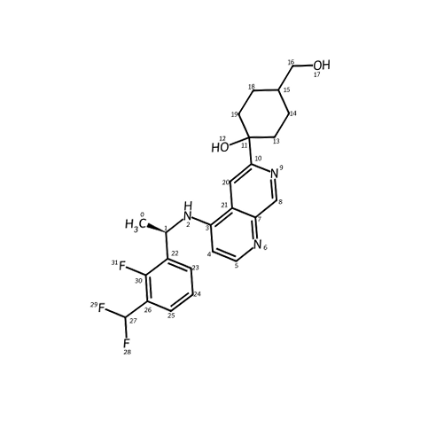 C[C@@H](Nc1ccnc2cnc(C3(O)CCC(CO)CC3)cc12)c1cccc(C(F)F)c1F